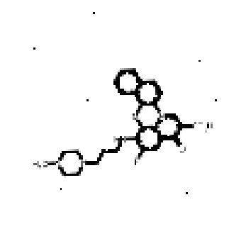 CN1CCN(CCCNc2c(F)cc3c(=O)c(C(=O)O)cn4c3c2Oc2c-4ccc3ccccc23)CC1